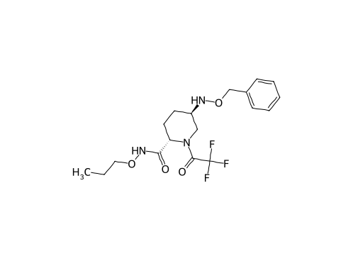 CCCONC(=O)[C@@H]1CC[C@@H](NOCc2ccccc2)CN1C(=O)C(F)(F)F